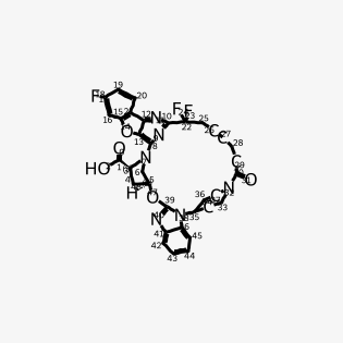 O=C(O)[C@@H]1C[C@H]2CN1c1nc(nc3c1oc1cc(F)ccc13)C(F)(F)CCCCCC(=O)N1CCC(CC1)n1c(nc3ccccc31)O2